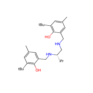 Cc1cc(CNC[C@@H](NCc2cc(C)cc(C(C)(C)C)c2O)C(C)C)c(O)c(C(C)(C)C)c1